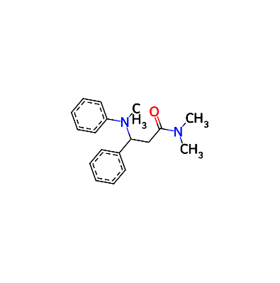 CN(C)C(=O)CC(c1ccccc1)N(C)c1ccccc1